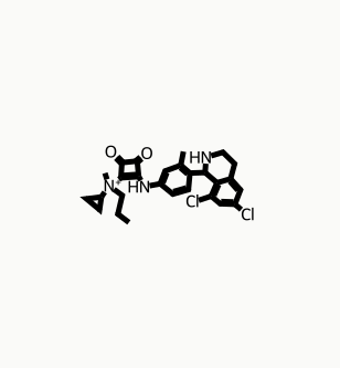 CCC[N+](C)(c1c(Nc2ccc(C3NCCc4cc(Cl)cc(Cl)c43)c(C)c2)c(=O)c1=O)C1CC1